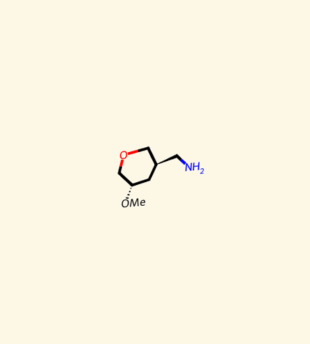 CO[C@@H]1COC[C@@H](CN)C1